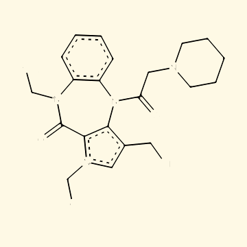 CCc1cn(CC)c2c1N(C(=O)CN1CCCCC1)c1ccccc1N(CC)C2=O